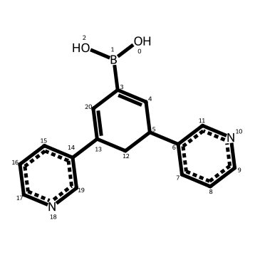 OB(O)C1=CC(c2cccnc2)CC(c2cccnc2)=C1